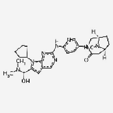 CN(C)C(O)c1cc2cnc(Nc3ccc(N4C[C@H]5CC[C@@H](CC4=O)N5C)cn3)nc2n1C1CCCC1